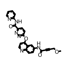 COCC#CC(=O)Nc1ccc2nccc(Oc3ccc(C(=O)Nc4ccccn4)nn3)c2c1